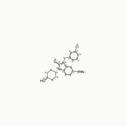 N#Cc1ccc2c(c1)n(Cc1cccc(Cl)c1)c(=O)n2[C@H]1CC[C@H](O)CC1